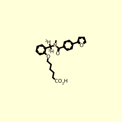 [2H]C([2H])(c1ccccc1OCCCCCC(=O)O)N(C)C(=O)c1ccc(-c2ccco2)cc1